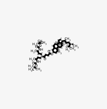 CC[C@H](CC[C@@H](C)[C@H]1CC[C@H]2[C@@H]3CC=C4C[C@@H](OC(=O)CCC(=O)N(CCC(C)NC(=O)OC(C)(C)C)CCC(C)NC(=O)OC(C)(C)C)CC[C@]4(C)C3CC[C@]12C)C(C)C